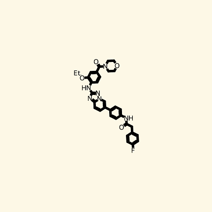 CCOc1cc(C(=O)N2CCOCC2)ccc1Nc1nc2ccc(-c3ccc(NC(=O)Cc4ccc(F)cc4)cc3)cn2n1